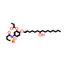 CCCCCCCCC(O)CCCCC=COc1ccc(N2C(=O)CCCS2(=O)=O)cc1OC(=O)CC